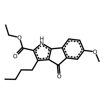 CCCCc1c(C(=O)OCC)[nH]c2c1C(=O)c1cc(OC)ccc1-2